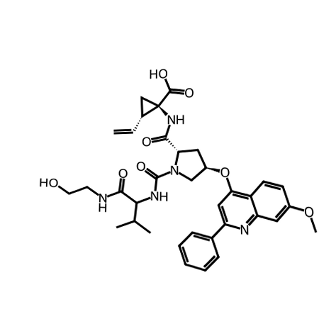 C=C[C@@H]1C[C@]1(NC(=O)[C@@H]1C[C@@H](Oc2cc(-c3ccccc3)nc3cc(OC)ccc23)CN1C(=O)NC(C(=O)NCCO)C(C)C)C(=O)O